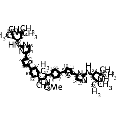 CON=C(C(C)c1ccc(-c2ccc(-c3ccnc(NC4CC(C)(C)NC(C)(C)C4)n3)s2)cc1)C(C)c1ccc(-c2ccc(-c3ccnc(NC4CC(C)(C)NC(C)(C)C4)n3)s2)cc1